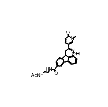 CC(=O)NCCNC(=O)c1ccc2c(c1)-c1ccccc1C2C/C(=N\O)c1ccc(=O)n(C)c1